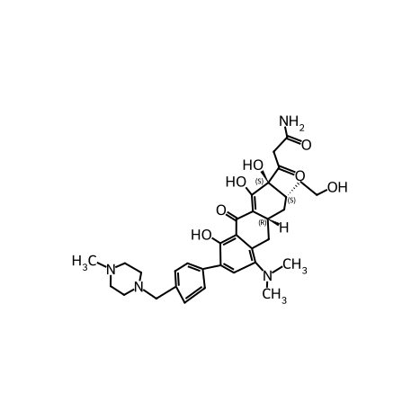 CN1CCN(Cc2ccc(-c3cc(N(C)C)c4c(c3O)C(=O)C3=C(O)[C@](O)(C(=O)CC(N)=O)[C@H](CCO)C[C@@H]3C4)cc2)CC1